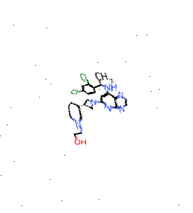 C[C@@H](Nc1cc(N2CC([C@H]3CCCN(CCO)C3)C2)nc2nccnc12)c1ccc(Cl)cc1Cl